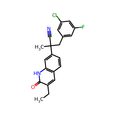 CCc1cc2ccc(C(C)(C#N)Cc3cc(F)cc(Cl)c3)cc2[nH]c1=O